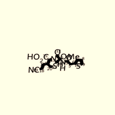 CO[C@@]1(NC(=O)Cc2cccs2)C(=O)N2C(C(=O)O)=C(/C=C/C#N)CS[C@@H]21